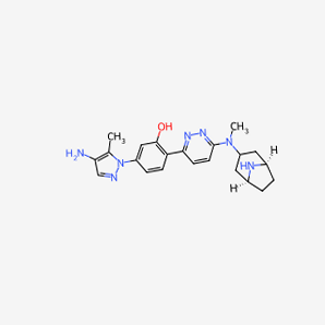 Cc1c(N)cnn1-c1ccc(-c2ccc(N(C)C3C[C@H]4CC[C@@H](C3)N4)nn2)c(O)c1